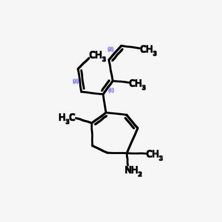 C\C=C/C(C)=C(\C=C/C)C1=C(C)CCC(C)(N)C=C1